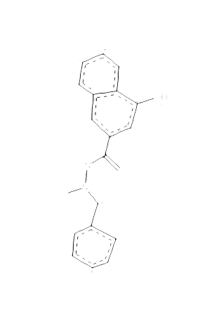 O=C(NN(Cc1ccccc1)C(=O)O)c1cc(O)c2ccccc2c1